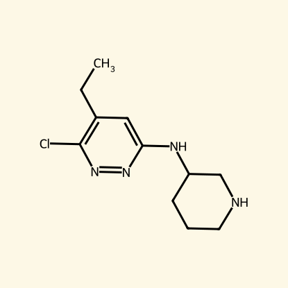 CCc1cc(NC2CCCNC2)nnc1Cl